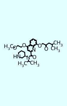 COCCOc1cc(C(=O)N(C(C)C)[C@@H]2CCCNC2)nc2c(OCC(=O)CC(C)C)cccc12